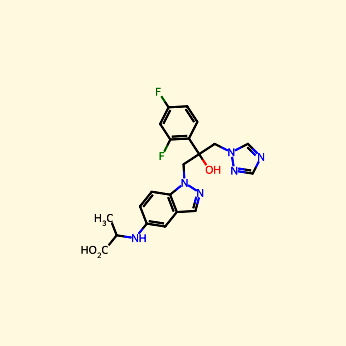 CC(Nc1ccc2c(cnn2CC(O)(Cn2cncn2)c2ccc(F)cc2F)c1)C(=O)O